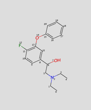 CCN(CC)CC(O)c1ccc(F)c(Oc2ccccc2)c1